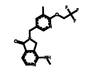 CNc1nccc2c1CN(Cc1cnc(OCC(F)(F)F)c(C)c1)C2=O